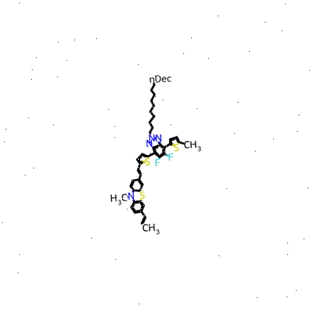 C/C=C/c1ccc2c(c1)SC1C=C(/C=C/c3ccc(-c4c(F)c(F)c(-c5ccc(C)s5)c5nn(CCCCCCCCCCCCCCCCCCCC)nc45)s3)C=CC1N2C